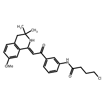 COc1ccc2c(c1)C(=CC(=O)c1cccc(NC(=O)CCCCl)c1)NC(C)(C)C2